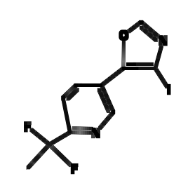 CC(F)(F)c1ccc(-c2ocnc2I)cn1